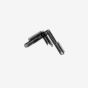 O.O.O.O.O.O.O.O.O.O.O.O.O.O.O.O.O.O.O.O.[Cr].[Cr].[Cr].[Cr].[Cr].[Cr].[Cr].[Cr].[Cr].[Cr].[Cr].[Cr].[Cr].[Cr].[Cr].[Cr].[Cr].[Cr]